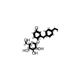 CCc1ccc(Cc2cc(Cl)ccc2O[C@@H]2S[C@H](CO)[C@@H](O)[C@H](O)[C@H]2O)cc1